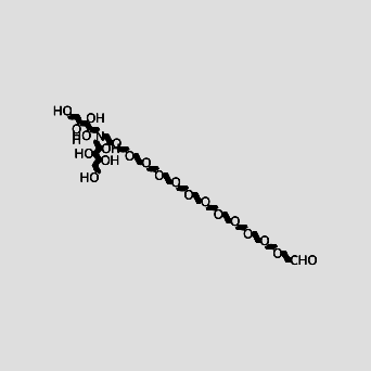 O=CCCOCCOCCOCCOCCOCCOCCOCCOCCOCCOCCOCCOCCN(CC(O)C(O)C(O)CCO)CC(O)C(O)C(O)CCO